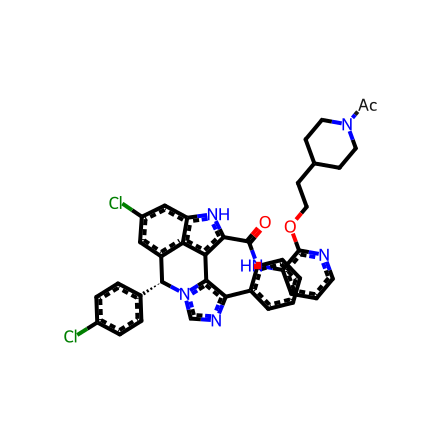 CC(=O)N1CCC(CCOc2ncccc2NC(=O)c2[nH]c3cc(Cl)cc4c3c2-c2c(-c3ccccc3)ncn2[C@@H]4c2ccc(Cl)cc2)CC1